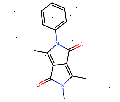 CC1=C2C(=O)N(c3ccccc3)C(C)=C2C(=O)N1C